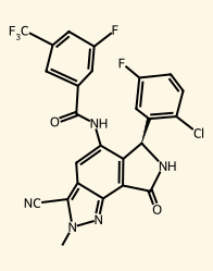 Cn1nc2c3c(c(NC(=O)c4cc(F)cc(C(F)(F)F)c4)cc2c1C#N)[C@@H](c1cc(F)ccc1Cl)NC3=O